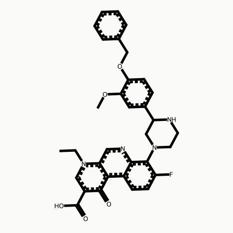 CCn1cc(C(=O)O)c(=O)c2c3ccc(F)c(N4CCNC(c5ccc(OCc6ccccc6)c(OC)c5)C4)c3ncc21